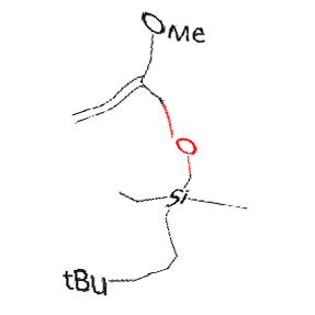 C=C(OC)O[Si](C)(C)CC(C)(C)C